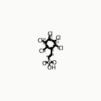 O=S(=O)(O)/C=C/c1c(Cl)c(Cl)c(Cl)c(Cl)c1Cl